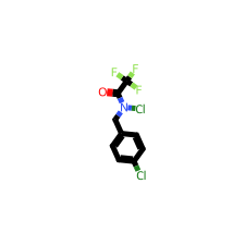 O=C(N(Cl)Cc1ccc(Cl)cc1)C(F)(F)F